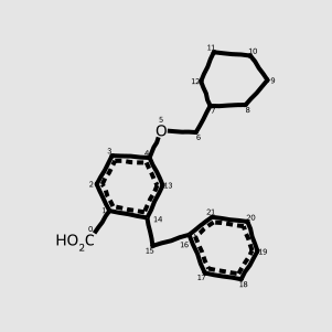 O=C(O)c1ccc(OCC2CCCCC2)cc1Cc1ccccc1